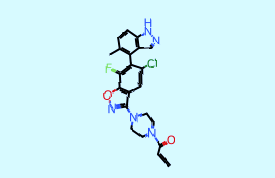 C=CC(=O)N1CCN(c2noc3c(F)c(-c4c(C)ccc5[nH]ncc45)c(Cl)cc23)CC1